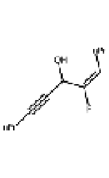 CCCC#CC(O)/C(F)=C\CCC